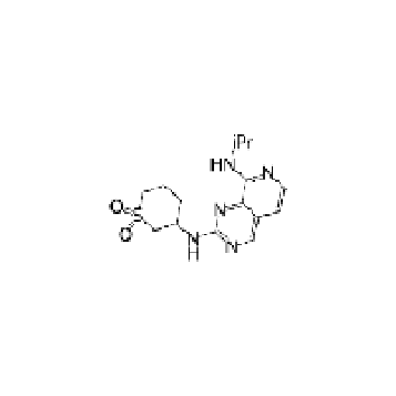 CC(C)Nc1nccc2cnc(NC3CCCS(=O)(=O)C3)nc12